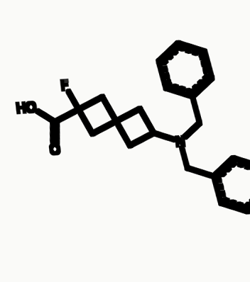 O=C(O)C1(F)CC2(CC(N(Cc3ccccc3)Cc3ccccc3)C2)C1